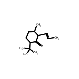 CC=CC1C(=O)C(C(C)(C)O)CCC1C